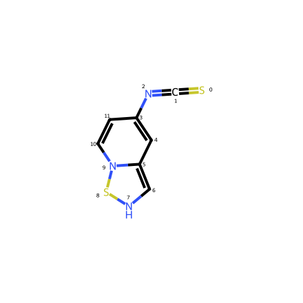 S=C=NC1=CC2=CNSN2C=C1